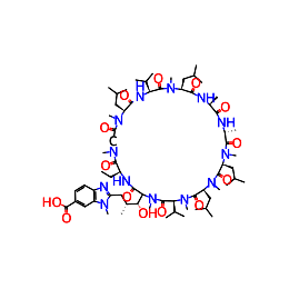 CC[C@@H]1NC(=O)C([C@H](O)[C@H](C)Cc2nc3ccc(C(=O)O)cc3n2C)N(C)C(=O)[C@H](C(C)C)N(C)C(=O)[C@H](CC(C)C)N(C)C(=O)[C@H](CC(C)C)N(C)C(=O)[C@@H](C)NC(=O)[C@H](C)NC(=O)[C@H](CC(C)C)N(C)C(=O)[C@H](C(C)C)NC(=O)[C@H](CC(C)C)N(C)C(=O)CN(C)C1=O